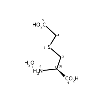 N[C@@H](CSCC(=O)O)C(=O)O.O